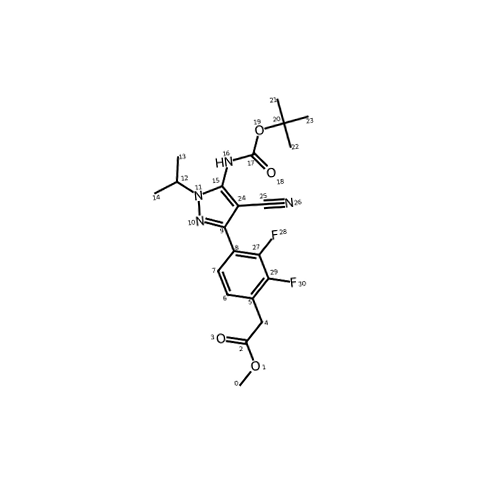 COC(=O)Cc1ccc(-c2nn(C(C)C)c(NC(=O)OC(C)(C)C)c2C#N)c(F)c1F